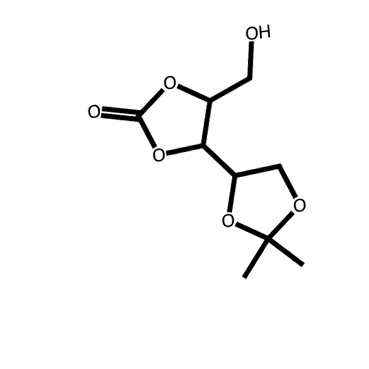 CC1(C)OCC(C2OC(=O)OC2CO)O1